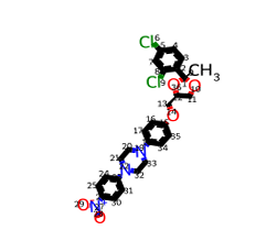 C[C@]1(c2ccc(Cl)cc2Cl)OC[C@@H](COc2ccc(N3CCN(c4ccc([N+](=O)[O-])cc4)CC3)cc2)O1